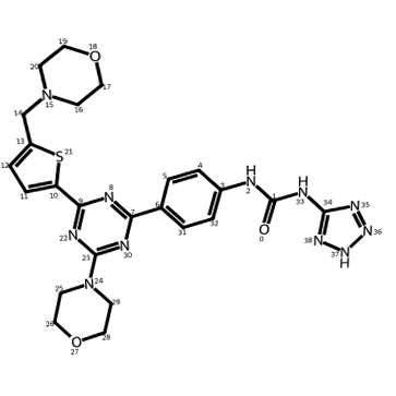 O=C(Nc1ccc(-c2nc(-c3ccc(CN4CCOCC4)s3)nc(N3CCOCC3)n2)cc1)Nc1nn[nH]n1